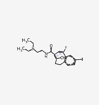 CCN(CC)CCNC(=O)C1=C(/C)CCc2ccc(I)cc2/C(F)=C\1